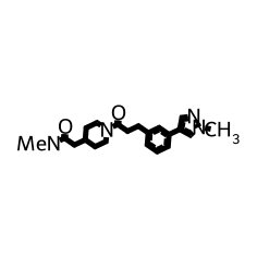 CNC(=O)CC1CCN(C(=O)CCc2cccc(-c3cnn(C)c3)c2)CC1